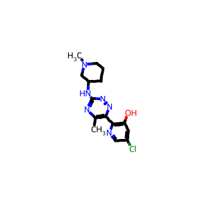 Cc1nc(NC2CCCN(C)C2)nnc1-c1ncc(Cl)cc1O